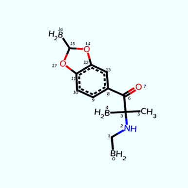 BCNC(B)(C)C(=O)c1ccc2c(c1)OC(B)O2